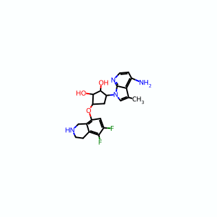 Cc1cn(C2CC(Oc3cc(F)c(F)c4c3CNCC4)C(O)C2O)c2nccc(N)c12